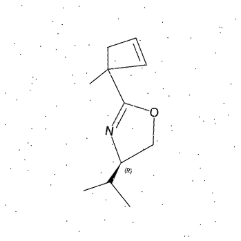 CC(C)[C@@H]1COC(C2(C)C=CC2)=N1